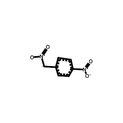 O=[N+]([O-])[CH]c1ccc([N+](=O)[O-])cc1